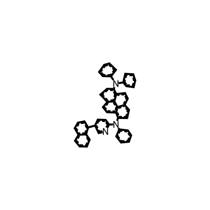 c1ccc(N(c2ccccc2)c2ccc3ccc4c(N(c5ccccc5)c5ccc(-c6cccc7ccccc67)cn5)ccc5ccc2c3c54)cc1